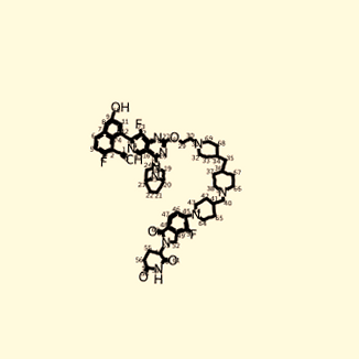 C#Cc1c(F)ccc2cc(O)cc(-c3ncc4c(N5CC6CCC(C5)N6)nc(OCCN5CCC(CC6CCN(CC7CCN(c8ccc9c(c8F)CN(C8CCC(=O)NC8=O)C9=O)CC7)CC6)CC5)nc4c3F)c12